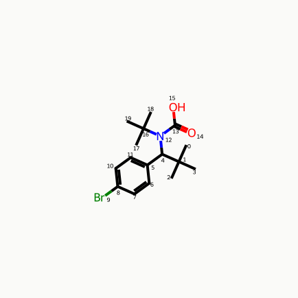 CC(C)(C)C(c1ccc(Br)cc1)N(C(=O)O)C(C)(C)C